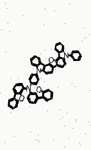 c1ccc(-n2c3ccccc3c3c4oc5c(ccc6c5c5ccccc5n6-c5ccc(N(c6cccc7c6oc6ccccc67)c6cccc7c6oc6ccccc67)cc5)c4ccc32)cc1